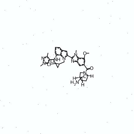 COc1cc(C(=O)N2C[C@H]3CC[C@@H]2C[C@@H]3N)cc2nc(-c3cc4cccc(Nc5cn(C)nc5C)c4n3CC3CC3(Cl)Cl)n(C)c12